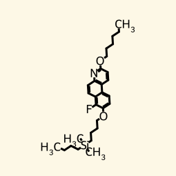 CCCCCCOc1ccc2c(ccc3c(F)c(OCCCC[Si](C)(C)CCCC)ccc32)n1